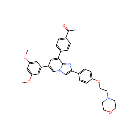 COc1cc(OC)cc(-c2cc(-c3ccc(C(C)=O)cc3)c3nc(-c4ccc(OCCN5CCOCC5)cc4)cn3c2)c1